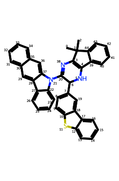 CC1(C)C2=C(NC(c3ccc4sc5ccccc5c4c3)C(n3c4ccccc4c4cc5ccccc5cc43)=N2)c2ccccc21